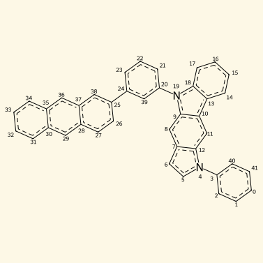 c1ccc(-n2ccc3cc4c(cc32)c2ccccc2n4-c2cccc(-c3ccc4cc5ccccc5cc4c3)c2)cc1